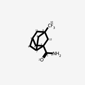 NC(=O)C12CC3CC1CC(C(F)(F)F)(C3)C2